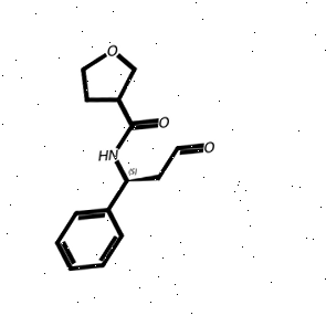 O=CC[C@H](NC(=O)C1CCOC1)c1ccccc1